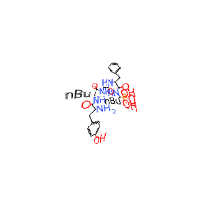 CCCCC(NC(=O)[C@H](Cc1ccccc1)NC(=O)CNC(=O)[C@@H](CCCC)NC(=O)[C@@H](N)Cc1ccc(O)cc1)P(=O)(O)O